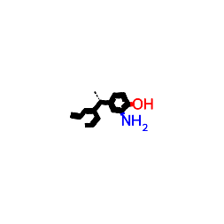 C=C/C=C(\C=C/C)[C@H](C)c1ccc(O)c(N)c1